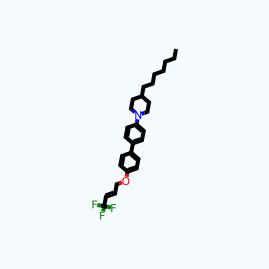 CCCCCCCC1CCN(c2ccc(-c3ccc(OC/C=C/C(F)(F)F)cc3)cc2)CC1